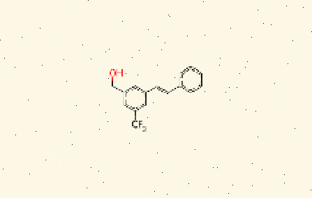 OCc1cc(/C=C/c2ccccc2)cc(C(F)(F)F)c1